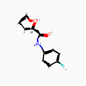 O=C(Nc1ccc(F)cc1)c1ccco1